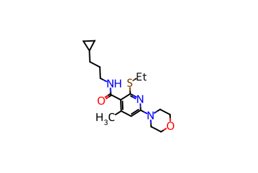 CCSc1nc(N2CCOCC2)cc(C)c1C(=O)NCCCC1CC1